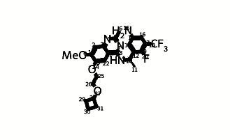 COc1cc2nc(C)nc(N[C@H](C)c3cc(N)cc(C(F)(F)F)c3F)c2cc1OCCOC1CCC1